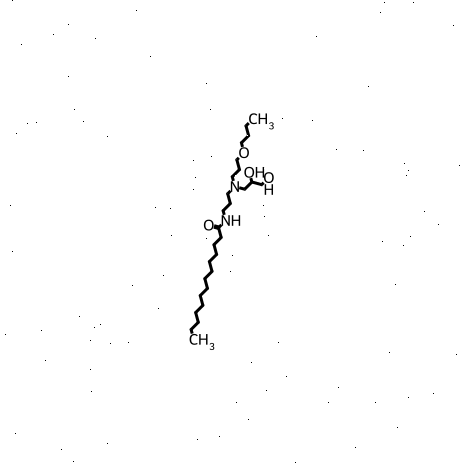 CCCCCCCCCCCCCC(=O)NCCCN(CCCOCCCC)CC(O)CO